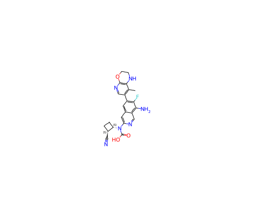 Cc1c(-c2cc3cc(N(C(=O)O)[C@H]4CC[C@@H]4C#N)ncc3c(N)c2F)cnc2c1NCCO2